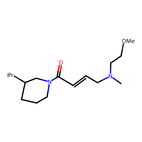 COCCN(C)C/C=C/C(=O)N1CCCC(C(C)C)C1